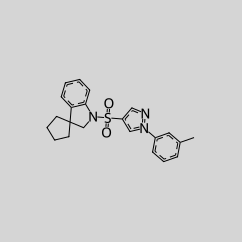 Cc1cccc(-n2cc(S(=O)(=O)N3CC4(CCCC4)c4ccccc43)cn2)c1